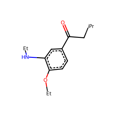 CCNc1cc(C(=O)CC(C)C)ccc1OCC